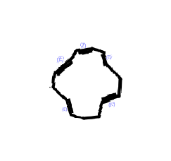 [CH]1/C=C/C=C\C=C\C/C=C/CC/C=C/1